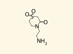 NCCN1CCS(=O)(=O)CC1=O